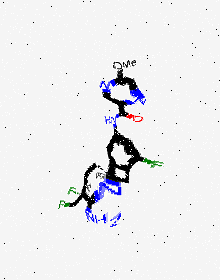 COc1cnc(C(=O)Nc2cc(F)c3c(c2)[C@@]2(CC[C@](F)(CF)C(N)=N2)C3)cn1